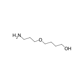 NCCCOCCCCO